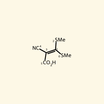 CSC(SC)=C(C#N)C(=O)O